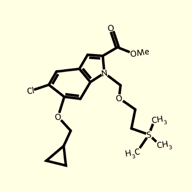 COC(=O)c1cc2cc(Cl)c(OCC3CC3)cc2n1COCCS(C)(C)C